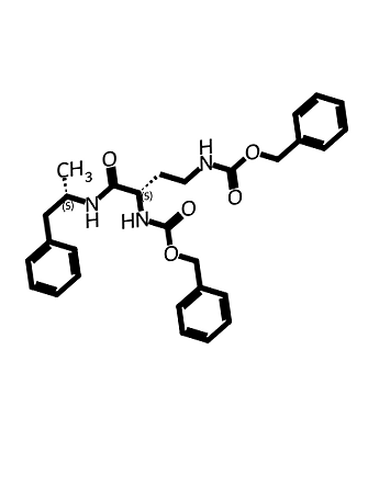 C[C@@H](Cc1ccccc1)NC(=O)[C@H](CCNC(=O)OCc1ccccc1)NC(=O)OCc1ccccc1